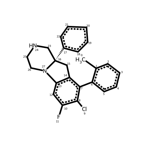 Cc1ccccc1-c1c(Cl)c(F)cc2c1C[C@]1(c3ccccc3)CNCCN21